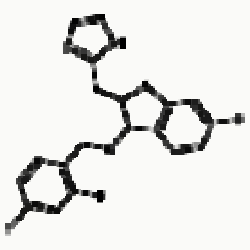 Fc1ccc(COC2c3ccc(F)cc3SC2Cc2ncc[nH]2)c(F)c1